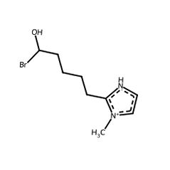 C[n+]1cc[nH]c1CCCCC(O)Br